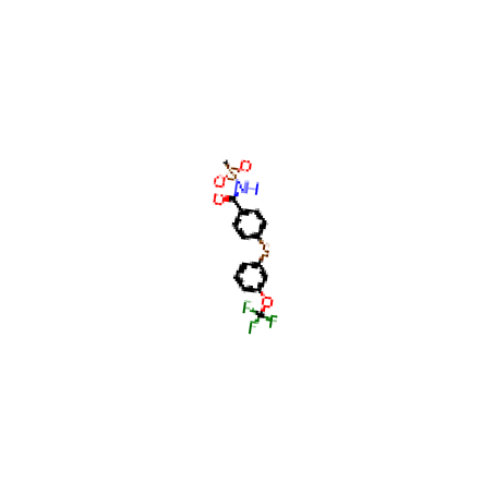 CS(=O)(=O)NC(=O)c1ccc(Sc2cccc(OC(F)(F)F)c2)cc1